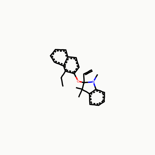 C=CC1(Oc2ccc3ccccc3c2CC)N(C)c2ccccc2C1(C)C